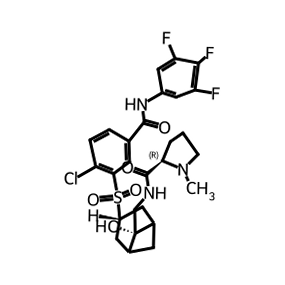 CN1CCC[C@@H]1C(=O)NC[C@]1(O)C2CC1C[C@@H](S(=O)(=O)c1cc(C(=O)Nc3cc(F)c(F)c(F)c3)ccc1Cl)C2